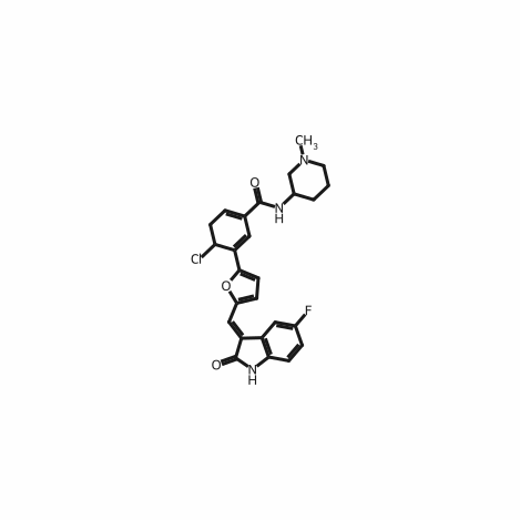 CN1CCCC(NC(=O)C2=CCC(Cl)C(c3ccc(/C=C4/C(=O)Nc5ccc(F)cc54)o3)=C2)C1